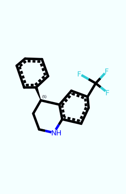 FC(F)(F)c1ccc2c(c1)[C@H](c1ccccc1)CCN2